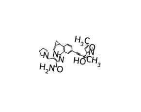 Cc1cc([C@](C)(O)C#Cc2ccc3c(c2)-c2nc(C(N)=O)c(CN4CCCC4)n2C=C2CC23)no1